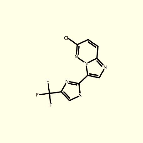 FC(F)(F)c1csc(-c2cnc3ccc(Cl)nn23)n1